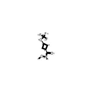 CON(C)C(=O)[C@H]1C[C@@H](OC(F)(F)F)C1